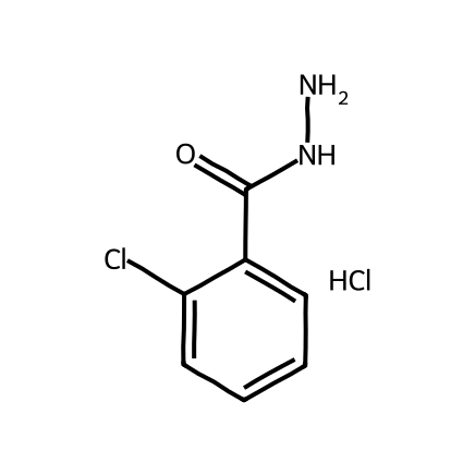 Cl.NNC(=O)c1ccccc1Cl